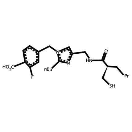 CCCCc1nc(CNC(=O)[C@H](CS)CC(C)C)cn1Cc1ccc(C(=O)O)c(F)c1